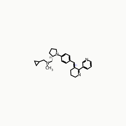 CN(CC1CC1)C[C@@H]1CCCN1c1ccc(/C=C2\CCCN=C2c2cccnc2)cc1